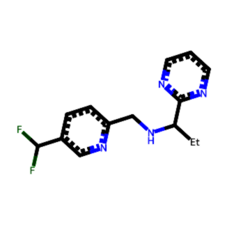 CCC(NCc1ccc(C(F)F)cn1)c1ncccn1